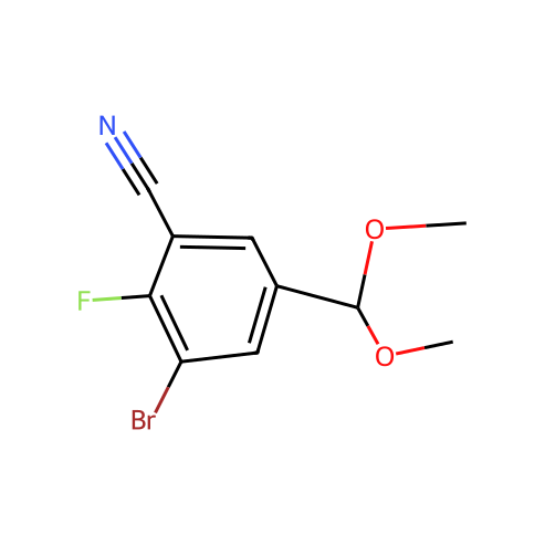 COC(OC)c1cc(Br)c(F)c(C#N)c1